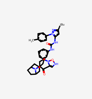 Cc1ccc(-n2nc(C(C)(C)C)cc2NC(=O)Nc2cccc(CC3CC4CCC(C3)N4C3CCN4ONC=C4C3=O)c2)cc1